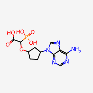 Nc1ncnc2c1ncn2C1CCC(OC(C(=O)O)P(=O)(O)O)C1